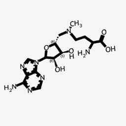 CN(CCC(N)C(=O)O)C[C@H]1OC(n2cnc3c(N)ncnc32)[C@H](O)[C@@H]1O